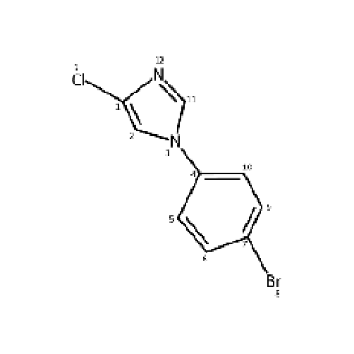 Clc1cn(-c2ccc(Br)cc2)cn1